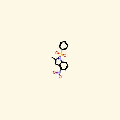 Cc1cc2c([N+](=O)[O-])cccc2n1S(=O)(=O)c1ccccc1